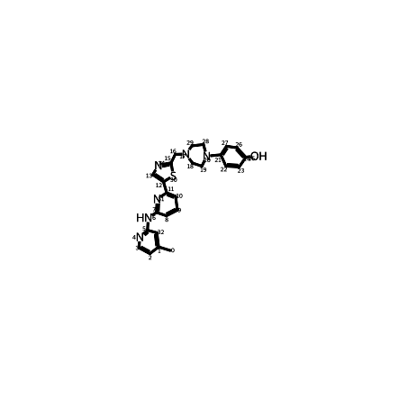 Cc1ccnc(Nc2cccc(-c3cnc(CN4CCN(c5ccc(O)cc5)CC4)s3)n2)c1